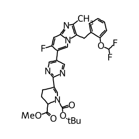 COC(=O)C1CCC(c2ncc(-c3cn4c(Cc5ccccc5OC(F)F)c(C)nc4cc3F)cn2)=CN1C(=O)OC(C)(C)C